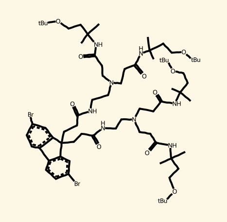 CC(C)(CCOC(C)(C)C)NC(=O)CCN(CCNC(=O)CCC1(CCC(=O)NCCN(CCC(=O)NC(C)(C)CCOC(C)(C)C)CCC(=O)NC(C)(C)CCOC(C)(C)C)c2cc(Br)ccc2-c2ccc(Br)cc21)CCC(=O)NC(C)(C)CCOC(C)(C)C